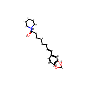 O=C(CCCCC/C=C/c1ccc2c(c1)OCO2)N1CCCCC1